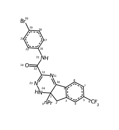 CCCC12Cc3cc(C(F)(F)F)ccc3C1=NC(C(=O)Nc1ccc(Br)cc1)=NN2